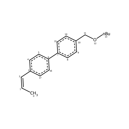 C/C=C\c1ccc(-c2ccc(COCCCC)cc2)cc1